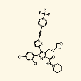 O=C(NN1CCCCC1)c1nn(-c2ccc(Cl)cc2Cl)c(-c2ccc(C#Cc3ccc(C(F)(F)F)cc3)s2)c1CNC1COC1